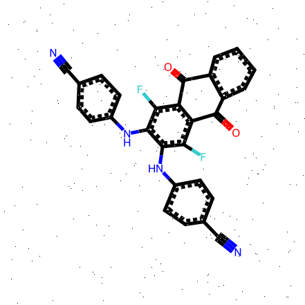 N#Cc1ccc(Nc2c(F)c3c(c(F)c2Nc2ccc(C#N)cc2)C(=O)c2ccccc2C3=O)cc1